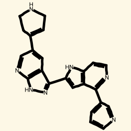 C1=C(c2cnc3[nH]nc(-c4cc5c(-c6cccnc6)nccc5[nH]4)c3c2)CCNC1